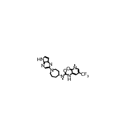 CN(C(=O)Nc1cc(C(F)(F)F)cn(C)c1=O)[C@@H]1CCCN(c2cnc3[nH]ccc3n2)CC1